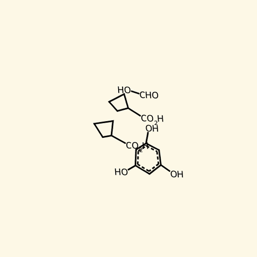 O=C(O)C1CCC1.O=C(O)C1CCC1.O=CO.Oc1cc(O)cc(O)c1